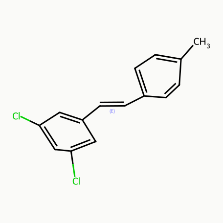 Cc1ccc(/C=C/c2cc(Cl)cc(Cl)c2)cc1